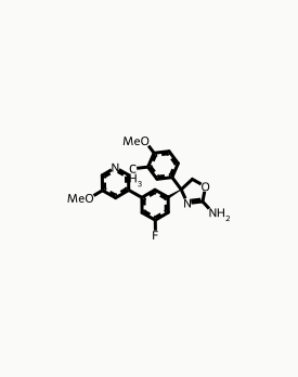 COc1cncc(-c2cc(F)cc([C@@]3(c4ccc(OC)c(C)c4)COC(N)=N3)c2)c1